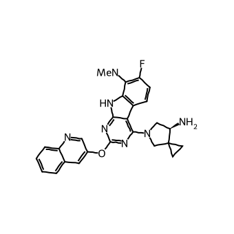 CNc1c(F)ccc2c1[nH]c1nc(Oc3cnc4ccccc4c3)nc(N3C[C@@H](N)C4(CC4)C3)c12